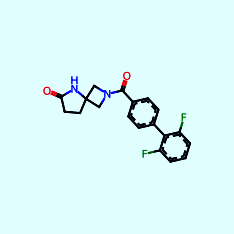 O=C1CCC2(CN(C(=O)c3ccc(-c4c(F)cccc4F)cc3)C2)N1